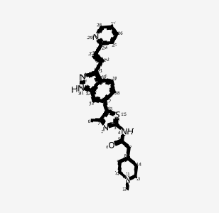 Cc1nc(NC(=O)CC2CCN(C)CC2)sc1-c1ccc2c(/C=C/c3ccccn3)n[nH]c2c1